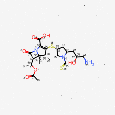 CC(=O)O[C@H](C)[C@H]1C(=O)N2C(C(=O)O)=C(S[C@H]3CC(C[C@H](O)CN)N(C=S)C3)[C@H](C)[C@H]12